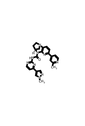 Cc1cc(-c2ccc3c(n2)N(C(=O)Nc2nccc(-c4cnn(C)c4)n2)[C@H]2CCN3C2)ccn1